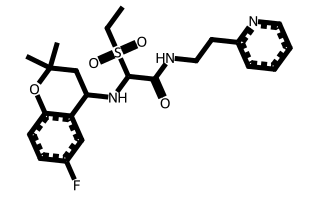 CCS(=O)(=O)C(NC1CC(C)(C)Oc2ccc(F)cc21)C(=O)NCCc1ccccn1